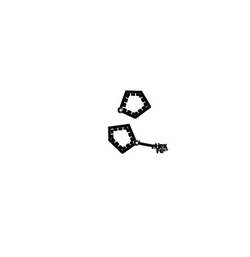 CCCCCC[c-]1cccc1.[Fe+2].c1cc[cH-]c1